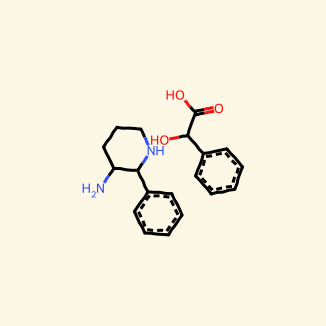 NC1CCCNC1c1ccccc1.O=C(O)C(O)c1ccccc1